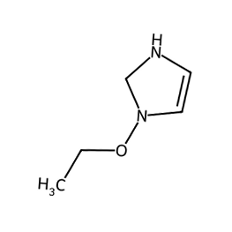 CCON1C=CNC1